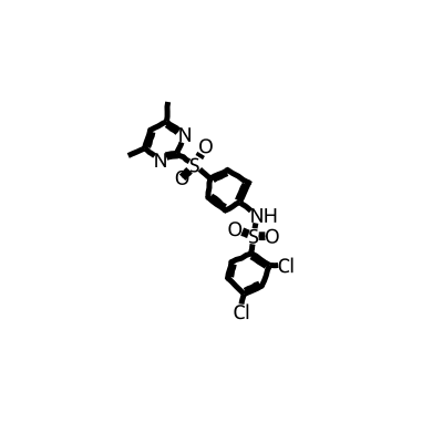 Cc1cc(C)nc(S(=O)(=O)c2ccc(NS(=O)(=O)c3ccc(Cl)cc3Cl)cc2)n1